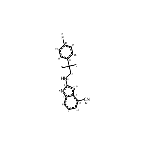 CC(C)(CNc1nc2cccc(C#N)c2s1)c1ccc(F)cc1